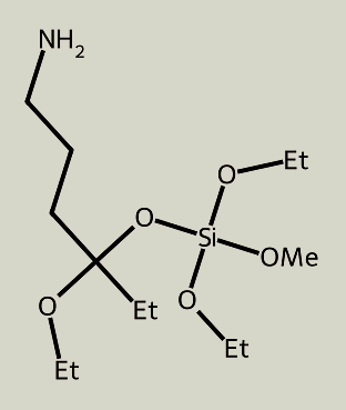 CCOC(CC)(CCCN)O[Si](OC)(OCC)OCC